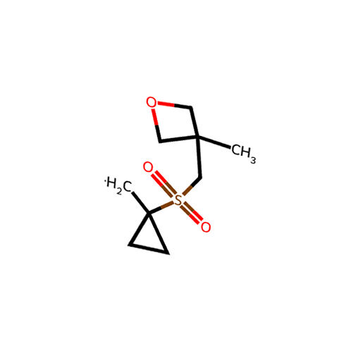 [CH2]C1(S(=O)(=O)CC2(C)COC2)CC1